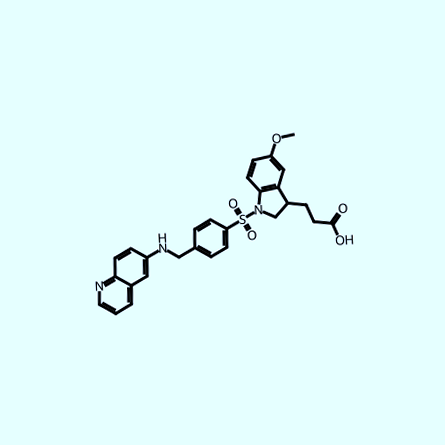 COc1ccc2c(c1)C(CCC(=O)O)CN2S(=O)(=O)c1ccc(CNc2ccc3ncccc3c2)cc1